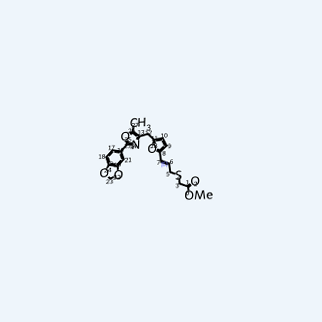 COC(=O)CSC/C=C/c1ccc(Cc2nc(-c3ccc4c(c3)OCO4)oc2C)o1